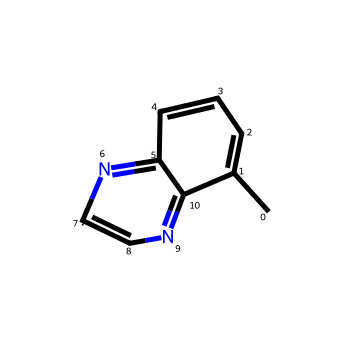 Cc1cccc2n[c]cnc12